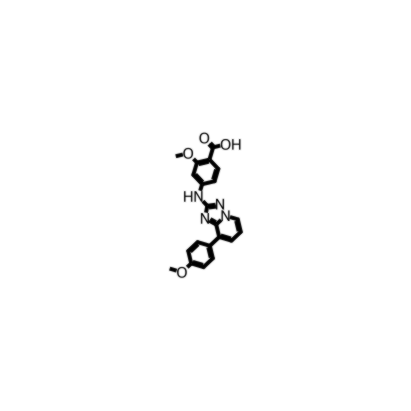 COc1ccc(-c2cccn3nc(Nc4ccc(C(=O)O)c(OC)c4)nc23)cc1